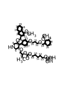 CCC(COC1CNCC(OCc2cc(OC)c3ccccc3c2)C1c1ccc(OCCCOCc2ccccc2OC)cc1)OC(=O)OCCCCCON(O)O